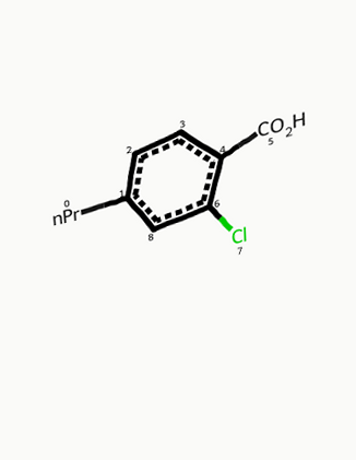 CCCc1ccc(C(=O)O)c(Cl)c1